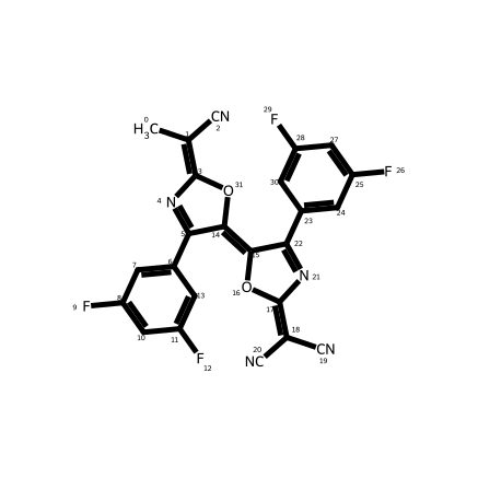 C/C(C#N)=c1\nc(-c2cc(F)cc(F)c2)/c(=c2\oc(=C(C#N)C#N)nc2-c2cc(F)cc(F)c2)o1